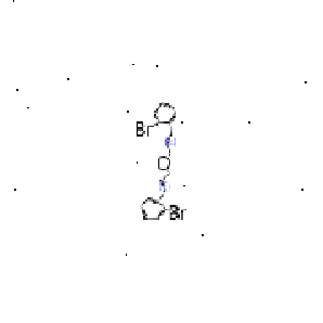 Brc1ccccc1/C=C/COC/C=C/c1ccccc1Br